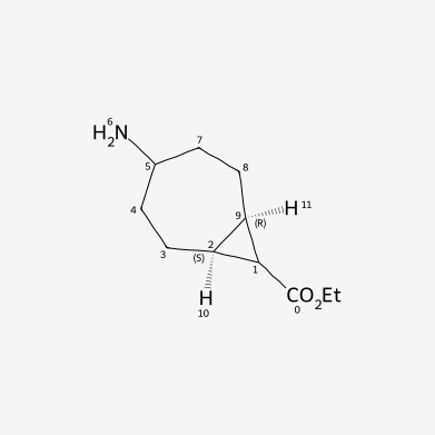 CCOC(=O)C1[C@H]2CCC(N)CC[C@@H]12